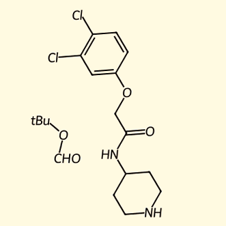 CC(C)(C)OC=O.O=C(COc1ccc(Cl)c(Cl)c1)NC1CCNCC1